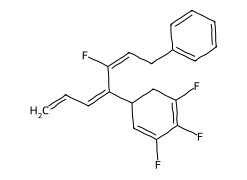 C=C/C=C(\C(F)=C/Cc1ccccc1)C1C=C(F)C(F)=C(F)C1